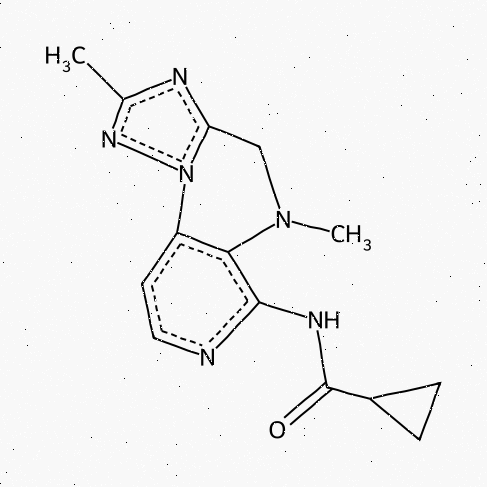 Cc1nc2n(n1)-c1ccnc(NC(=O)C3CC3)c1N(C)C2